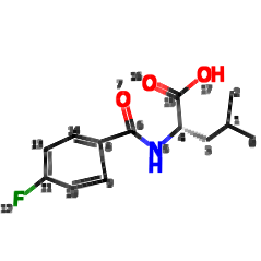 CC(C)C[C@H](NC(=O)c1ccc(F)cc1)C(=O)O